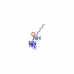 CCCCCCCC(=O)NCc1nnn(C(C)(C)C)n1